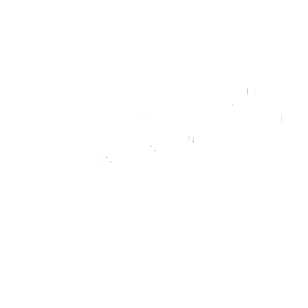 CCOC(=O)Cn1c2nc(NCC3CCOCC3)ccc2c(=O)c2ccc(Cl)c(OCC)c21